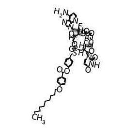 CCCCCCCCCCOc1ccc(C(=O)Oc2ccc(CSP3(=O)C[C@@H]4[C@H](F)[C@@H](COP(=O)(O)O[C@H]5[C@@H](F)[C@H](n6cnc7c(N)ccnc76)O[C@@H]5CO3)O[C@H]4n3ccc(=O)[nH]c3=O)cc2)cc1